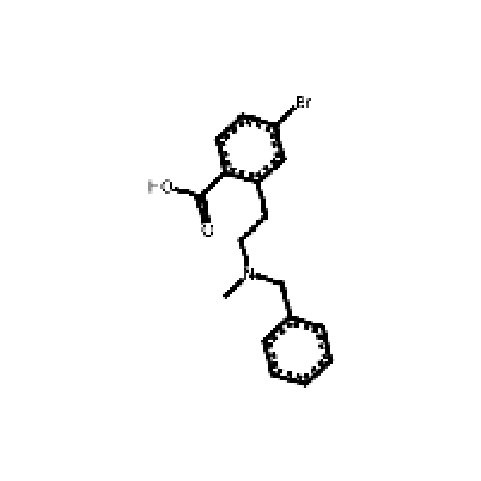 CN(CCc1cc(Br)ccc1C(=O)O)Cc1ccccc1